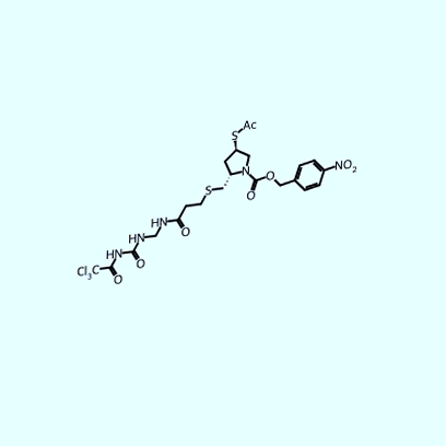 CC(=O)S[C@@H]1C[C@@H](CSCCC(=O)NCNC(=O)NC(=O)C(Cl)(Cl)Cl)N(C(=O)OCc2ccc([N+](=O)[O-])cc2)C1